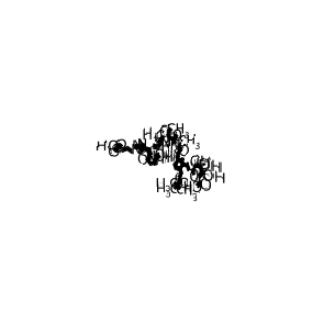 CC(C)[C@H](NC(=O)CC[C@@H](c1cn(CCCS(=O)(=O)O)nn1)N1C(=O)C=CC1=O)C(=O)N[C@@H](C)C(=O)Nc1ccc(COC(=O)C(C)(C)C)c(CC[C@@H]2O[C@H](C(=O)O)[C@@H](O)[C@H](O)[C@H]2O)c1